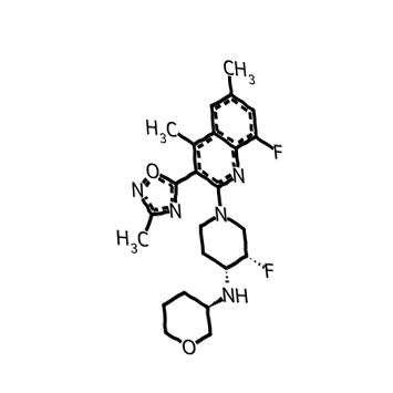 Cc1cc(F)c2nc(N3CC[C@@H](N[C@@H]4CCCOC4)[C@@H](F)C3)c(-c3nc(C)no3)c(C)c2c1